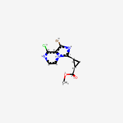 COC(=O)[C@@H]1C[C@@H]1c1nc(Br)c2c(Cl)nccn12